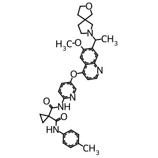 COc1cc2c(Oc3ccc(NC(=O)C4(C(=O)Nc5ccc(C)cc5)CC4)nc3)ccnc2cc1C(C)N1CCC2(CCOC2)C1